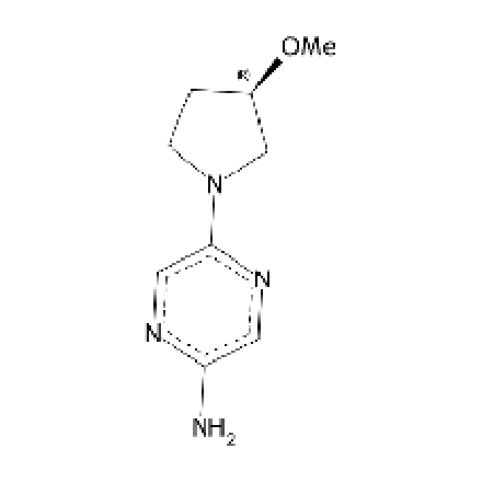 CO[C@@H]1CCN(c2cnc(N)cn2)C1